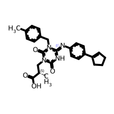 Cc1ccc(Cn2c(=O)n(C[C@H](C)C(=O)O)c(=O)[nH]/c2=N\c2ccc(C3=CCCC3)cc2)cc1